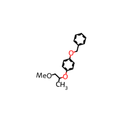 COCC(C)Oc1ccc(OCc2ccccc2)cc1